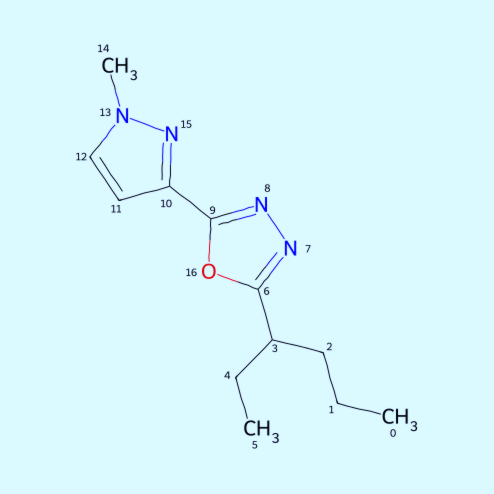 CCCC(CC)c1nnc(-c2ccn(C)n2)o1